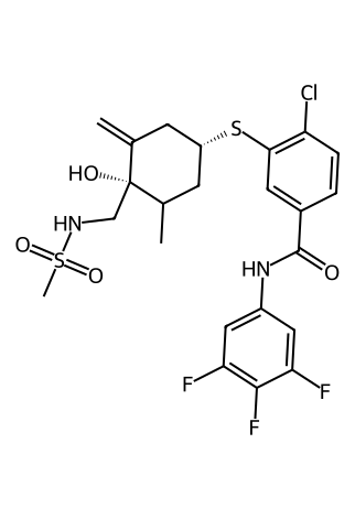 C=C1C[C@H](Sc2cc(C(=O)Nc3cc(F)c(F)c(F)c3)ccc2Cl)CC(C)[C@@]1(O)CNS(C)(=O)=O